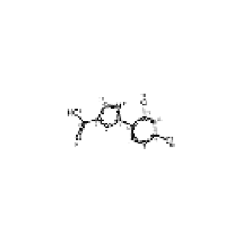 O=C(O)c1cc(-c2ccc(Cl)cc2Cl)ns1